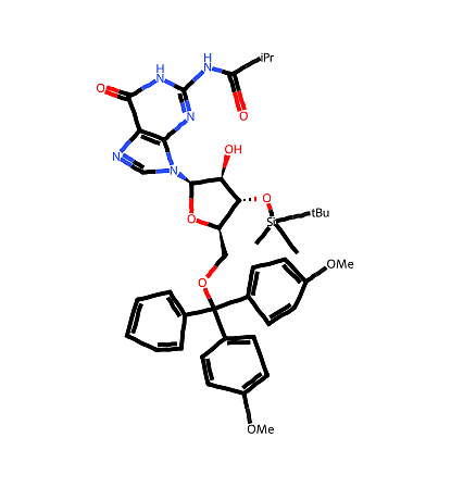 COc1ccc(C(OC[C@H]2O[C@@H](n3cnc4c(=O)[nH]c(NC(=O)C(C)C)nc43)[C@@H](O)[C@@H]2O[Si](C)(C)C(C)(C)C)(c2ccccc2)c2ccc(OC)cc2)cc1